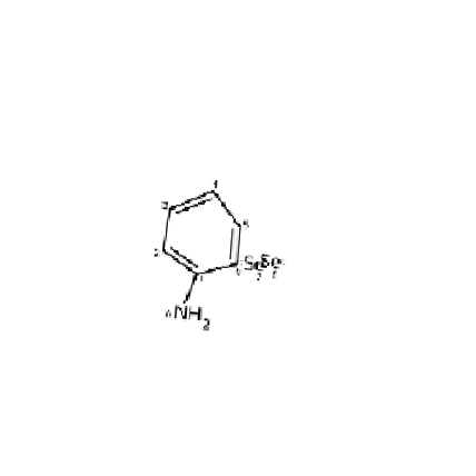 Nc1ccccc1.[Se].[Se]